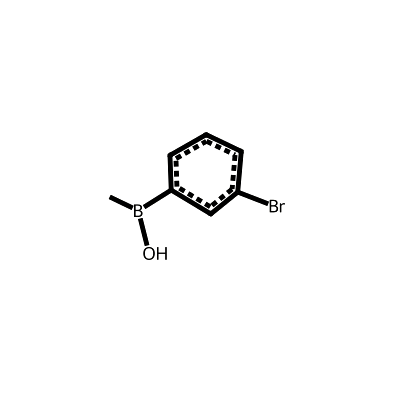 CB(O)c1cccc(Br)c1